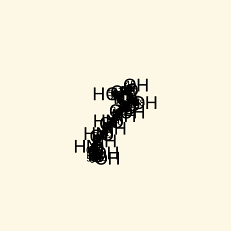 C[C@@H](NC(=O)CNC(=O)CNC(=O)CNC(=O)CNC(=O)CNC(=O)CCC(C(=O)O)N1CCN(CC(=O)O)CCN(CC(=O)O)CCN(CC(=O)O)CC1)C(=O)N1CCC[C@H]1B(O)O